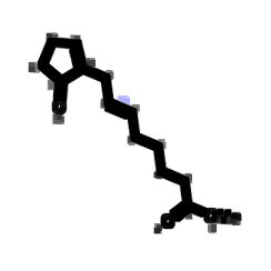 COC(=O)CCCC/C=C/CC1=CCCC1=O